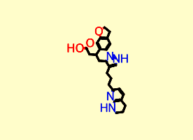 O=C(O)CC(Cc1n[nH]cc1CCCc1ccc2c(n1)NCCC2)c1ccc2c(c1)OCC2